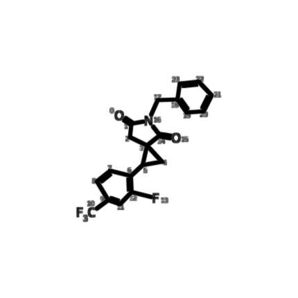 O=C1CC2(CC2c2ccc(C(F)(F)F)cc2F)C(=O)N1Cc1ccccc1